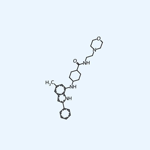 Cc1cc(NC2CCC(C(=O)NCCN3CCOCC3)CC2)c2[nH]c(-c3ccccc3)cc2c1